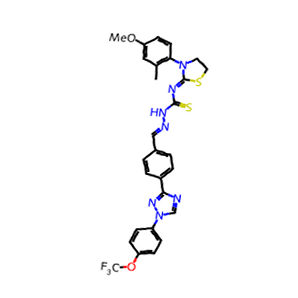 COc1ccc(N2CCS/C2=N\C(=S)N/N=C/c2ccc(-c3ncn(-c4ccc(OC(F)(F)F)cc4)n3)cc2)c(C)c1